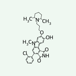 CC1CCCC(C)N1CCCOc1cc2c(cc1O)c1c3c(c(-c4ccccc4Cl)cc1n2C)C(=O)NC3=O